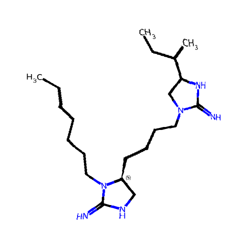 CCCCCCCN1C(=N)NC[C@@H]1CCCCN1CC(C(C)CC)NC1=N